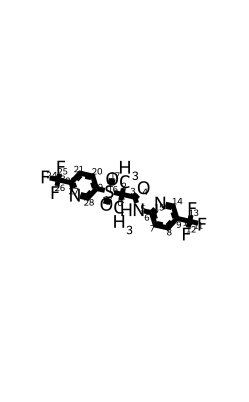 CC(C)(C(=O)Nc1ccc(C(F)(F)F)cn1)S(=O)(=O)c1ccc(C(F)(F)F)nc1